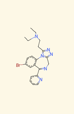 CCN(CC)CCc1nnc2n1-c1ccc(Br)cc1C(c1ccccn1)=NC2